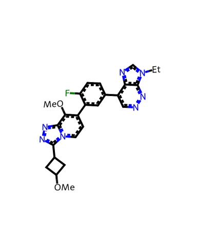 CCn1cnc2c(-c3ccc(F)c(-c4ccn5c(C6CC(OC)C6)nnc5c4OC)c3)cnnc21